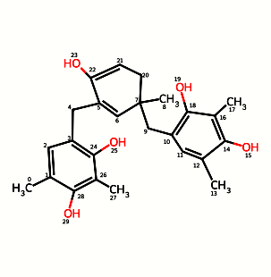 Cc1cc(CC2=CC(C)(Cc3cc(C)c(O)c(C)c3O)CC=C2O)c(O)c(C)c1O